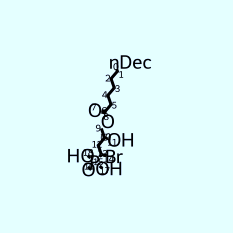 CCCCCCCCCCCCCCCC(=O)OC[C@@H](O)CC(Br)P(=O)(O)O